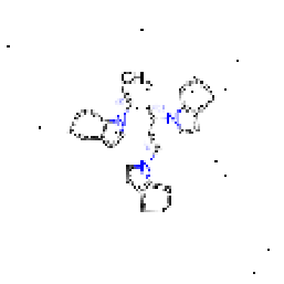 C\C=C(/C=C(\C=C\n1ccc2ccccc21)n1ccc2ccccc21)n1ccc2ccccc21